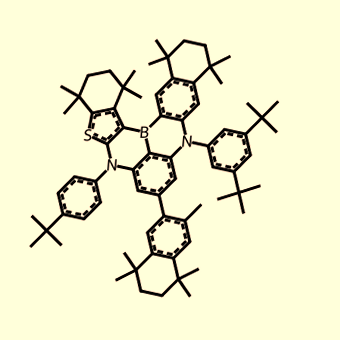 Cc1cc2c(cc1-c1cc3c4c(c1)N(c1ccc(C(C)(C)C)cc1)c1sc5c(c1B4c1cc4c(cc1N3c1cc(C(C)(C)C)cc(C(C)(C)C)c1)C(C)(C)CCC4(C)C)C(C)(C)CCC5(C)C)C(C)(C)CCC2(C)C